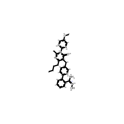 CCCCc1nc(C)n(-c2ncc(OC)cn2)c(=O)c1Cc1ccc(-c2ccccc2/C(N)=N\O)nc1